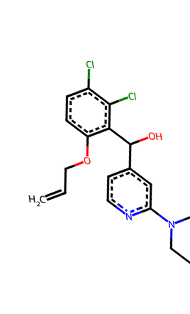 C=CCOc1ccc(Cl)c(Cl)c1C(O)c1ccnc(N2CCOCC2)c1